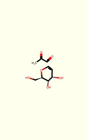 CC(=O)C=O.OC[C@H]1OC=C[C@@H](O)[C@H]1O